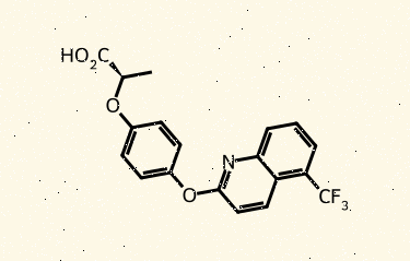 C[C@@H](Oc1ccc(Oc2ccc3c(C(F)(F)F)cccc3n2)cc1)C(=O)O